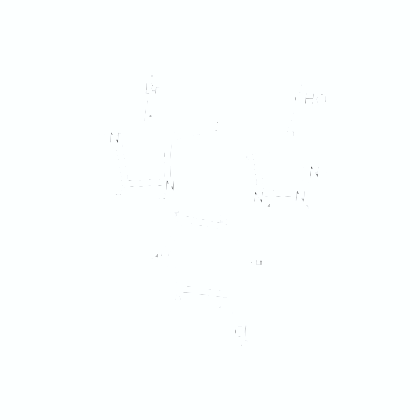 O=Cc1nnn2c1Cc1c(Br)ncn1-c1ccc(Cl)cc1-2